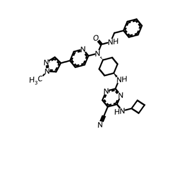 Cn1cc(-c2ccc(N(C(=O)NCc3ccccc3)[C@H]3CC[C@H](Nc4ncc(C#N)c(NC5CCC5)n4)CC3)nc2)cn1